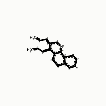 C=C/C=c1\c(=C/C=C)cnc2c1ccc1ccccc12